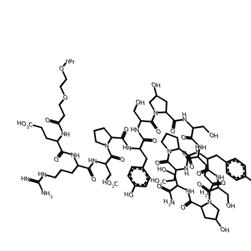 CCCOCCOCCC(=O)NC(CCC(=O)O)C(=O)NC(CCCNC(=N)N)C(=O)NC(CC(=O)O)C(=O)N1CCCC1C(=O)NC(Cc1ccc(O)cc1)C(=O)NC(CO)C(=O)N1CC(O)CC1C(=O)NC(CO)C(=O)NC(CCC(N)=O)C(=O)NC(CC(=O)O)C(=O)N1CCCC1C(=O)NC(Cc1ccc(O)cc1)C(=O)NC(CO)C(=O)N1CC(O)CC1C(=O)NC(CO)C(N)=O